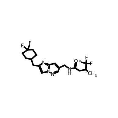 CC(CC(=O)NCc1cnn2cc(CC3CCC(F)(F)CC3)nc2c1)C(F)(F)F